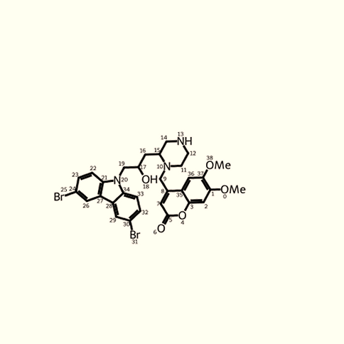 COc1cc2oc(=O)cc(CN3CCNCC3CC(O)Cn3c4ccc(Br)cc4c4cc(Br)ccc43)c2cc1OC